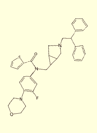 O=C(c1cccs1)N(CC1C2CN(CC(c3ccccc3)c3ccccc3)CC21)c1ccc(N2CCOCC2)c(F)c1